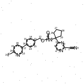 N#Cc1nccc(C2(NC(=O)OCc3ccc(-c4ccc(F)nc4)cc3)CCCC2)n1